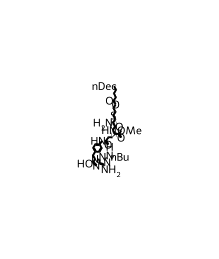 CCCCCCCCCCCCCC(=O)OCCSC[C@@H](N)C(=O)N[C@@H](CCC(=O)Nc1ccc(Cn2c(O)nc3c(N)nc(NCCCC)nc32)cc1)C(=O)OC